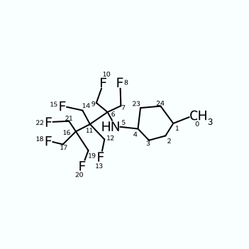 CC1CCC(NC(CF)(CF)C(CF)(CF)C(CF)(CF)CF)CC1